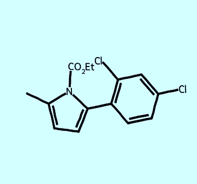 CCOC(=O)n1c(C)ccc1-c1ccc(Cl)cc1Cl